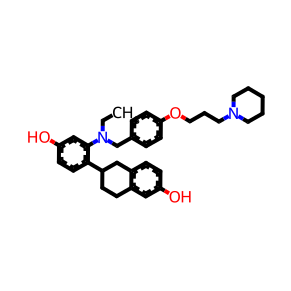 CCN(Cc1ccc(OCCCN2CCCCC2)cc1)c1cc(O)ccc1C1CCc2cc(O)ccc2C1